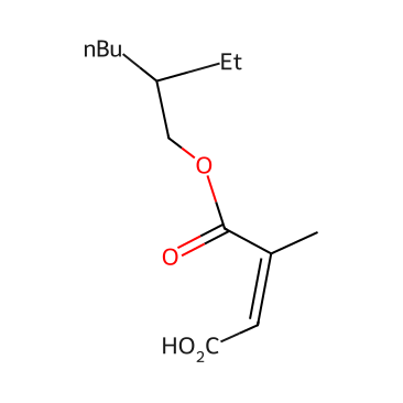 CCCCC(CC)COC(=O)/C(C)=C\C(=O)O